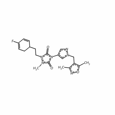 Cc1noc(C)c1Cn1cc(-n2c(=O)n(C)n(CCC3C=CC(F)=CC3)c2=O)cn1